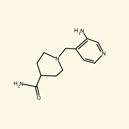 NC(=O)C1CCN(Cc2ccncc2N)CC1